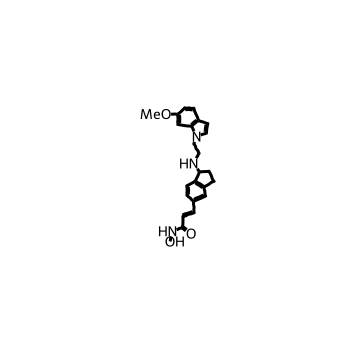 COc1ccc2ccn(CCNC3CCc4cc(C=CC(=O)NO)ccc43)c2c1